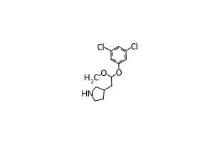 COC(CC1CCNC1)Oc1cc(Cl)cc(Cl)c1